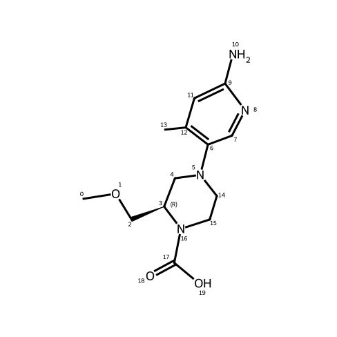 COC[C@H]1CN(c2cnc(N)cc2C)CCN1C(=O)O